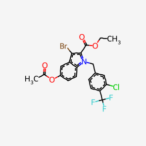 CCOC(=O)c1c(Br)c2cc(OC(C)=O)ccc2n1Cc1ccc(C(F)(F)F)c(Cl)c1